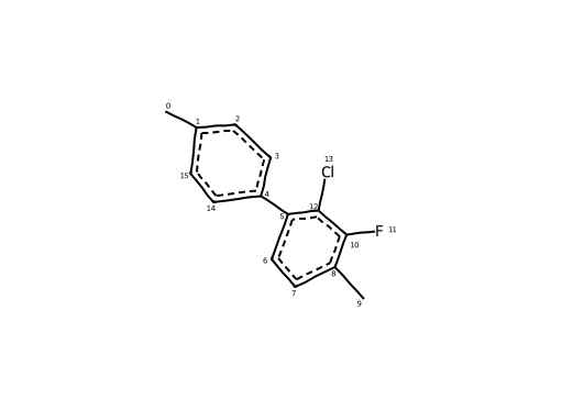 Cc1ccc(-c2ccc(C)c(F)c2Cl)cc1